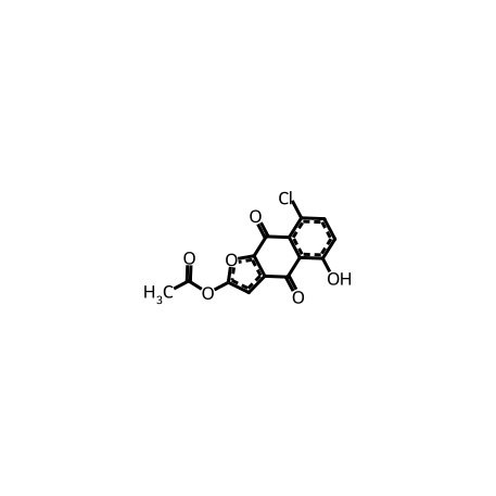 CC(=O)Oc1cc2c(o1)C(=O)c1c(Cl)ccc(O)c1C2=O